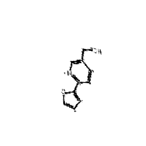 OCc1ccc(-c2cccs2)nc1